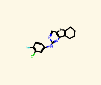 Fc1ccc(Nc2ncc3[se]c4c(c3n2)CCCC4)cc1Cl